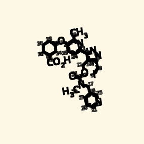 Cc1nc(-c2nnn(CI)c2COC(=O)N(C)Cc2cccnc2)ccc1O[C@H]1CCC[C@H](C(=O)O)C1